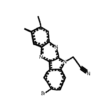 Cc1cc2nc3c4cc(Br)ccc4n(CC#N)c3nc2cc1C